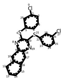 Clc1cccc(Sc2nc3cc4ccccc4cc3nc2Sc2cccc(Cl)c2)c1